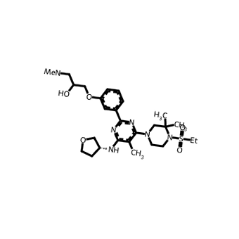 CCS(=O)(=O)N1CCN(c2nc(-c3cccc(OCC(O)CNC)c3)nc(N[C@@H]3CCOC3)c2C)CC1(C)C